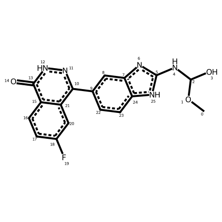 COC(O)Nc1nc2cc(-c3n[nH]c(=O)c4ccc(F)cc34)ccc2[nH]1